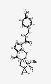 CC(C)(C)S(=O)(=O)C1(CN2CCn3c(cnc3C(=O)NCc3ccc(C#N)cc3)C2=O)CC1